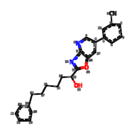 N#Cc1cccc(-c2cnc3nc(C(O)CCCCCc4ccccc4)oc3c2)c1